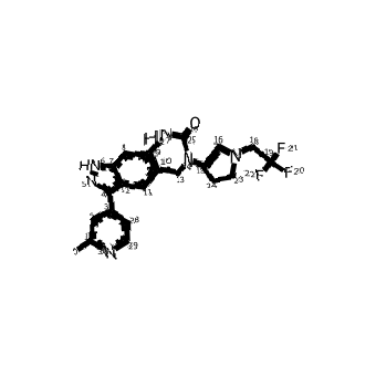 Cc1cc(-c2n[nH]c3cc4c(cc23)CN(C2=CN(CC(F)(F)F)CC2)C(=O)N4)ccn1